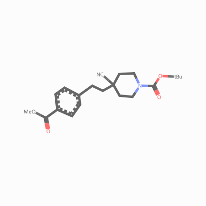 COC(=O)c1ccc(CCC2(C#N)CCN(C(=O)OC(C)(C)C)CC2)cc1